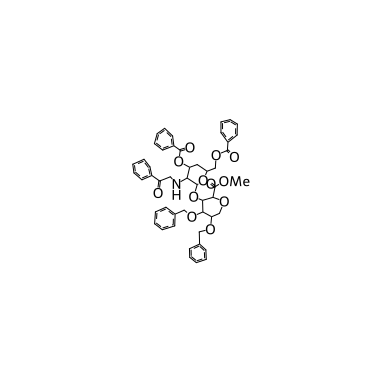 COC(=O)C1OCC(OCc2ccccc2)C(OCc2ccccc2)C1OC1OC(COC(=O)c2ccccc2)CC(OC(=O)c2ccccc2)C1NCC(=O)c1ccccc1